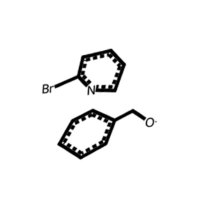 Brc1ccccn1.[O]Cc1ccccc1